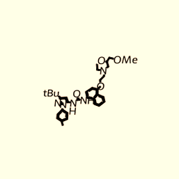 COCC1CN(CCOc2ccc(NC(=O)Nc3cc(C(C)(C)C)nn3-c3ccc(C)cc3)c3ccccc23)CCO1